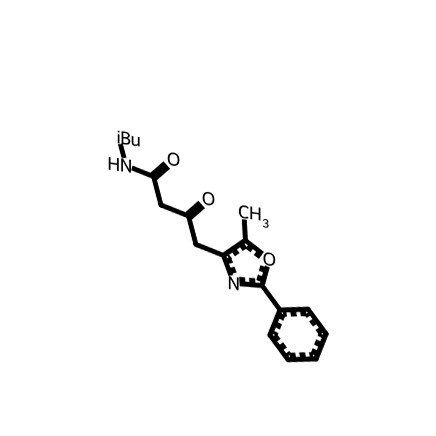 CCC(C)NC(=O)CC(=O)Cc1nc(-c2ccccc2)oc1C